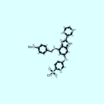 CCS(=O)(=O)c1ccc(Oc2cc(SCc3ccc(OC)cc3)c3nc(-c4cnccn4)[nH]c3c2)cn1